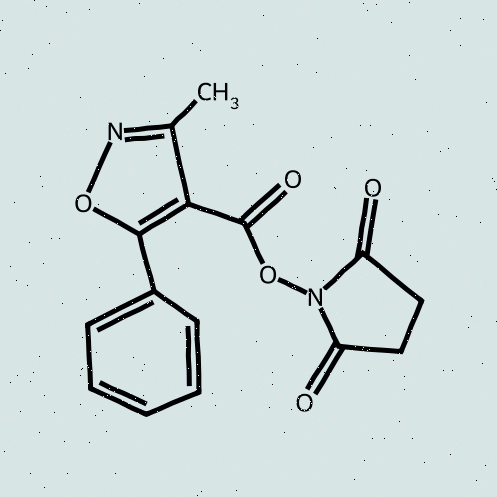 Cc1noc(-c2ccccc2)c1C(=O)ON1C(=O)CCC1=O